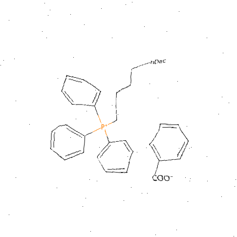 CCCCCCCCCCCCCC[P+](c1ccccc1)(c1ccccc1)c1ccccc1.O=C([O-])c1ccccc1